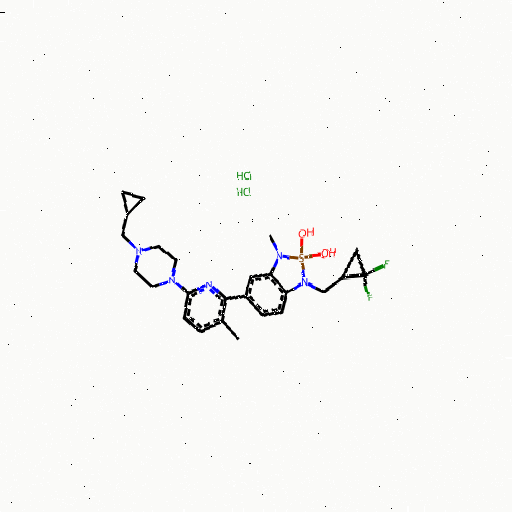 Cc1ccc(N2CCN(CC3CC3)CC2)nc1-c1ccc2c(c1)N(C)S(O)(O)N2CC1CC1(F)F.Cl.Cl